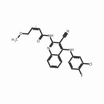 COC/C=C\C(=O)Nc1nc2ccccc2c(Nc2ccc(F)c(Cl)c2)c1C#N